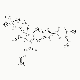 C=CCOC(=O)C1=C(Sc2nc(C3=CCN(C)[C@@H](CCl)C3)cs2)[C@H](C)[C@@H]2[C@@H]([C@@H](C)O[Si](C)(C)C)C(=O)N12